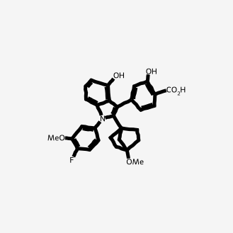 COc1cc(-n2c(C34CCC(OC)(CC3)C4)c(-c3ccc(C(=O)O)c(O)c3)c3c(O)cccc32)ccc1F